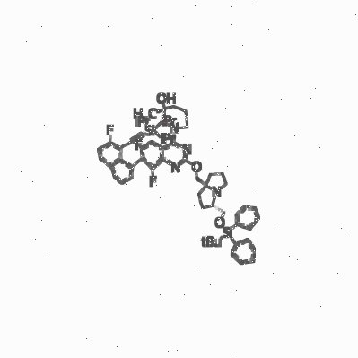 CC(C)[Si](C#Cc1c(F)ccc2cccc(-c3c(F)cc4c(N5CCC[C@@](C)(O)C5)nc(OC[C@@]56CCCN5[C@H](CO[Si](c5ccccc5)(c5ccccc5)C(C)(C)C)CC6)nc4c3F)c12)(C(C)C)C(C)C